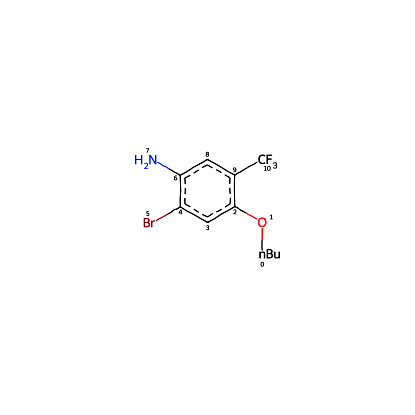 CCCCOc1cc(Br)c(N)cc1C(F)(F)F